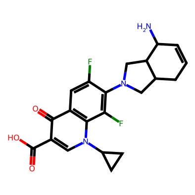 NC1C=CCC2CN(c3c(F)cc4c(=O)c(C(=O)O)cn(C5CC5)c4c3F)CC12